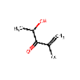 C=C(C(C)=O)C(=O)C(C)O